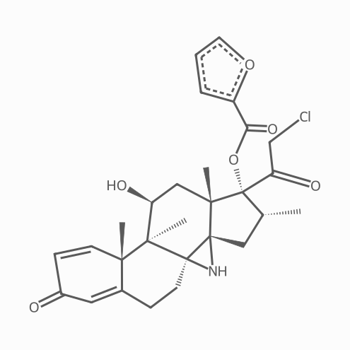 C[C@@H]1C[C@@]23N[C@]24CCC2=CC(=O)C=C[C@]2(C)[C@@]4(C)[C@@H](O)C[C@]3(C)[C@@]1(OC(=O)c1ccco1)C(=O)CCl